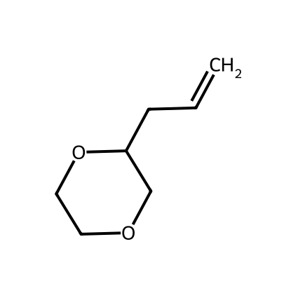 C=CCC1COCCO1